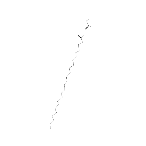 CCCCCCCCCCCCCCCCCCCCCCCC(=O)OC=C(O)CO